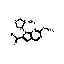 CSc1ncc2cc(C(=O)O)n([C@H]3COC[C@@H]3C)c2n1